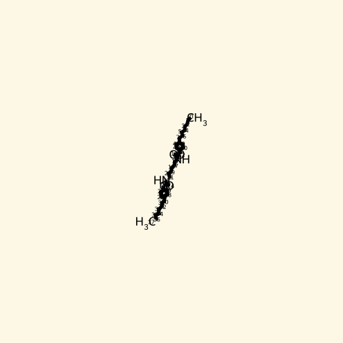 CCCCCCCCc1ccc(OC(=O)NCCCCCCNC(=O)Oc2ccc(CCCCCCCC)cc2)cc1